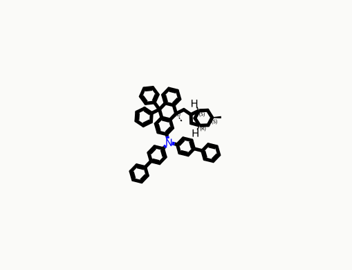 C[C@H]1C[C@H]2CC(C[C@]3(C)c4ccccc4C(c4ccccc4)(c4ccccc4)c4ccc(N(c5ccc(-c6ccccc6)cc5)c5ccc(-c6ccccc6)cc5)cc43)[C@@H](C1)C2